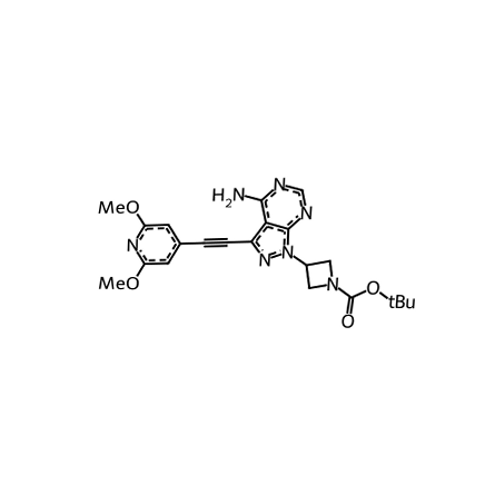 COc1cc(C#Cc2nn(C3CN(C(=O)OC(C)(C)C)C3)c3ncnc(N)c23)cc(OC)n1